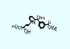 CCCCCCCCC(O)/C=C/c1cccc(C(O)c2cccc(C(=O)OC)c2)n1